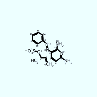 C=CCOS(=O)(=O)O.Cl.Nc1ccc(/N=N/c2ccccc2)c(N)n1